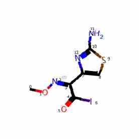 CO/N=C(\C(=O)I)c1csc(N)n1